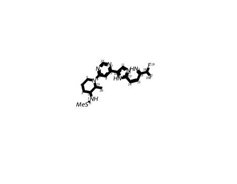 CSNC1CCCN(c2cc(-c3cnc(/C=C\C(=N)C(F)F)[nH]3)ncn2)C1C